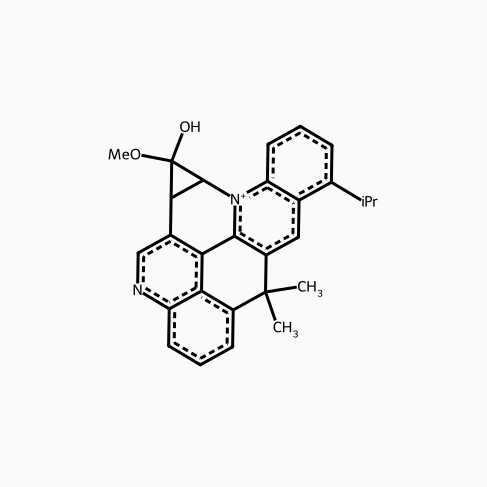 COC1(O)C2c3cnc4cccc5c4c3-c3c(cc4c(C(C)C)cccc4[n+]3C21)C5(C)C